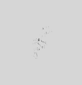 OCC1CC(N2NNc3c(NCc4cccs4)ncnc32)CC1O